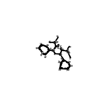 CN(C)C(=O)N(CN(C(=O)N(C)C)c1ccccc1)c1ccccc1